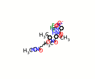 COc1cc(C(=O)N(C)c2ccc(C)cc2OCCCCCC(=O)N2CCN(C)CC2)ccc1NC(=O)c1cccc([N+](=O)[O-])c1NC(=O)C(F)(F)F